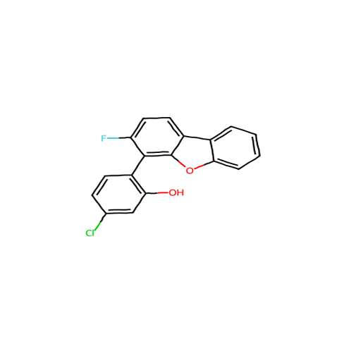 Oc1cc(Cl)ccc1-c1c(F)ccc2c1oc1ccccc12